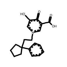 O=C(O)c1cn(CCC2(c3ccccc3)CCCC2)cc(O)c1=O